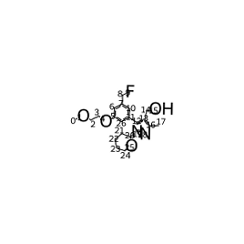 COCCOc1cc(CF)cc(-c2c(CO)c(C)nn2C2CCCCO2)c1